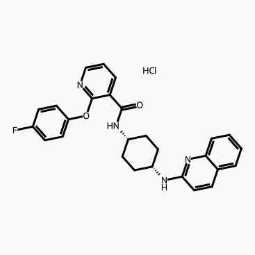 Cl.O=C(N[C@H]1CC[C@@H](Nc2ccc3ccccc3n2)CC1)c1cccnc1Oc1ccc(F)cc1